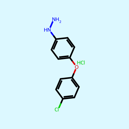 Cl.NNc1ccc(Oc2ccc(Cl)cc2)cc1